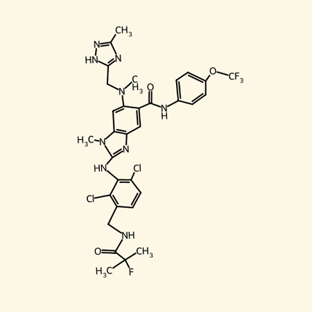 Cc1n[nH]c(CN(C)c2cc3c(cc2C(=O)Nc2ccc(OC(F)(F)F)cc2)nc(Nc2c(Cl)ccc(CNC(=O)C(C)(C)F)c2Cl)n3C)n1